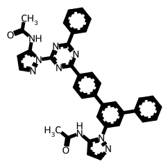 CC(=O)Nc1ccnn1-c1cc(-c2ccccc2)cc(-c2ccc(-c3nc(-c4ccccc4)nc(-n4nccc4NC(C)=O)n3)cc2)c1